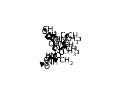 C=C[C@@H]1C[C@]1(NC(=O)[C@@H]1C[C@@H](Oc2nccc3cc(OC)ccc23)CN1C(=O)[C@@H](NC(=O)NC(C)(C)CC)C(C)(C)C)C(=O)NS(=O)(=O)C1CC1